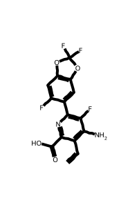 C=Cc1c(C(=O)O)nc(-c2cc3c(cc2F)OC(F)(F)O3)c(F)c1N